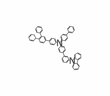 C1=CCC(c2ccc(-c3ccc(N(c4ccc(-c5ccccc5)cc4)c4ccc(-c5cccc(-n6c7ccccc7c7ccccc76)c5)cc4)cc3)cc2-c2ccccc2)C=C1